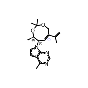 C=C(C)/C1=C/[C@@H](n2ccc3c(C)ncnc32)[C@@H](C)OC(C)(C)OC1